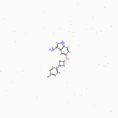 Cc1ccc(N2CC(Oc3ccc4[nH]cc(N)c4c3)C2)cc1